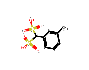 Cc1cccc(C(S(=O)(=O)O)S(=O)(=O)O)c1